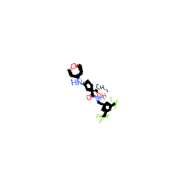 CC(O)[C@]1(C(=O)NCc2cc(C(F)(F)F)cc(C(F)(F)F)c2)CC[C@@H](NC2CCOCC2)C1